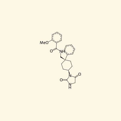 COc1ccccc1C(=O)NC[C@]1(c2ccccc2)CC[C@H](N2C(=O)CNC2=O)CC1